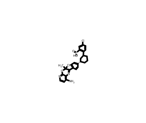 CC1(C)Oc2nccc(N)c2N=C1c1ccc([C@H]2CCCC(c3ccc(Cl)cc3[PH](=O)O)C2)cc1